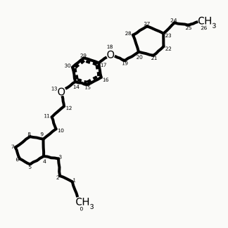 CCCCC1CCCCC1CCCOc1ccc(OCC2CCC(CCC)CC2)cc1